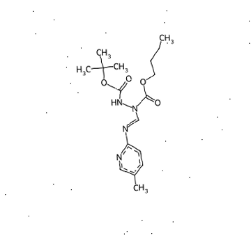 CCCCOC(=O)N(C=Nc1ccc(C)cn1)NC(=O)OC(C)(C)C